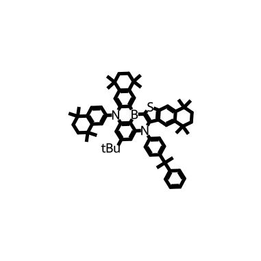 CC(C)(C)c1cc2c3c(c1)N(c1ccc(C(C)(C)c4ccccc4)cc1)c1c(sc4cc5c(cc14)C(C)(C)CCC5(C)C)B3c1cc3c(cc1N2c1ccc2c(c1)C(C)(C)CCC2(C)C)C(C)(C)CCC3(C)C